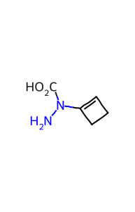 NN(C(=O)O)C1=CCC1